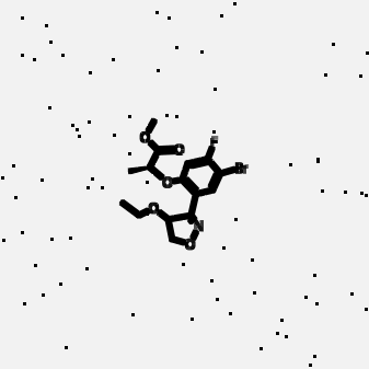 CCOC1CON=C1c1cc(Br)c(F)cc1O[C@@H](C)C(=O)OC